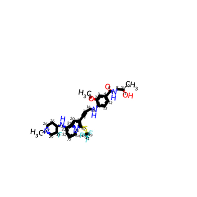 COc1cc(C(=O)NC[C@H](C)O)ccc1NCC#Cc1cc2c(N[C@@H]3CCN(C)C[C@@H]3F)cccn2c1SC(F)(F)F